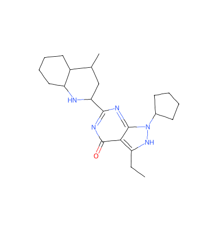 CCc1[nH]n(C2CCCC2)c2nc(C3CC(C)C4CCCCC4N3)nc(=O)c1-2